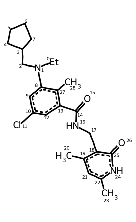 CCN(CC1CCCC1)c1cc(Cl)cc(C(=O)NCc2c(C)cc(C)[nH]c2=O)c1C